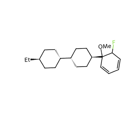 CC[C@H]1CC[C@H]([C@H]2CC[C@H](C3(OC)C=CC=CC3F)CC2)CC1